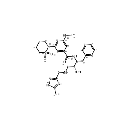 CCCCc1nc(CNC[C@@H](O)[C@H](Cc2ccccc2)NC(=O)c2cc(NCC)cc(N3CCCCS3(=O)=O)c2)c[nH]1